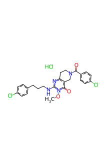 COn1c(NCCCc2ccc(Cl)cc2)nc2c(c1=O)CN(C(=O)c1ccc(Cl)cc1)CC2.Cl